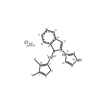 CC1=CC[C]([Hf+2][CH]2C([PH]3=CNC=C3)=Cc3ccccc32)=C1C.[Cl-].[Cl-]